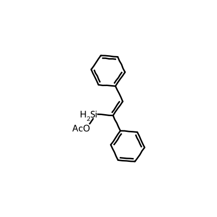 CC(=O)O[SiH2]C(=Cc1ccccc1)c1ccccc1